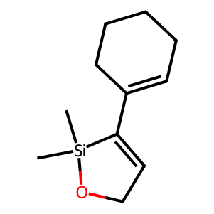 C[Si]1(C)OCC=C1C1=CCCCC1